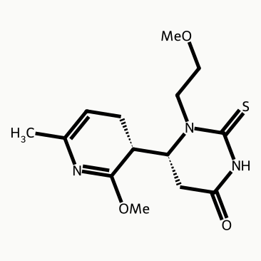 COCCN1C(=S)NC(=O)C[C@@H]1[C@H]1CC=C(C)N=C1OC